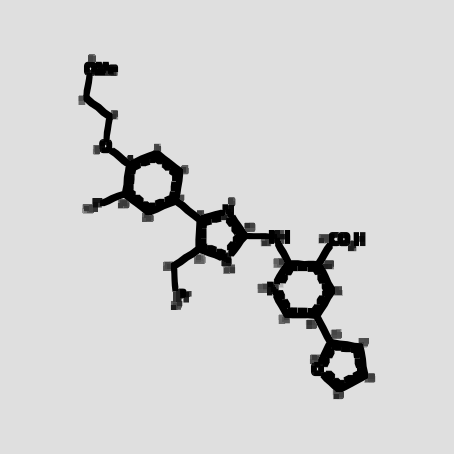 COCCOc1ccc(-c2nc(Nc3ncc(-c4ccco4)cc3C(=O)O)sc2CC(C)C)cc1F